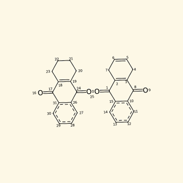 O=C1C2=C(CC=CC2)C(=O)c2ccccc21.O=C1C2=C(CCCC2)C(=O)c2ccccc21